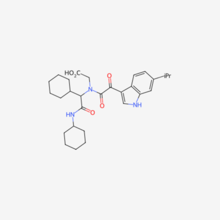 CC(C)c1ccc2c(C(=O)C(=O)N(CC(=O)O)C(C(=O)NC3CCCCC3)C3CCCCC3)c[nH]c2c1